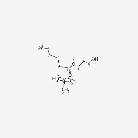 CC(C)CCCCC(=O)OCCCO.CN(C)C